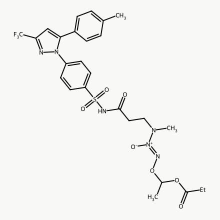 CCC(=O)OC(C)O/N=[N+](\[O-])N(C)CCC(=O)NS(=O)(=O)c1ccc(-n2nc(C(F)(F)F)cc2-c2ccc(C)cc2)cc1